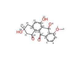 COc1cccc2c1C(=O)c1c(O)cc3c(c1C2=O)C(=O)CC(C)(O)C3